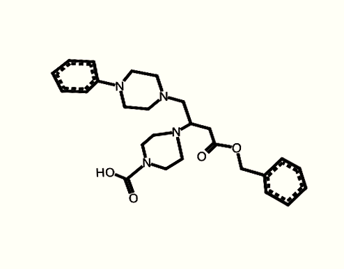 O=C(CC(CN1CCN(c2ccccc2)CC1)N1CCN(C(=O)O)CC1)OCc1ccccc1